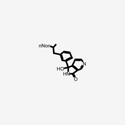 CCCCCCCCCC(C)Cc1cccc(C2(O)NC(=O)c3cnccc32)c1